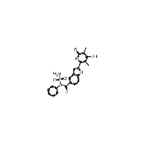 Cc1c(-c2cc3cc(C(=O)N(c4ccccc4)S(N)(=O)=O)ccc3o2)oc(=O)c(C)c1O